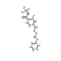 Cc1nc(OCCOCc2ccccc2)ccc1C(=O)OC(C)(C)C